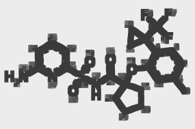 Cc1ccc(C2(C(F)(F)F)CC2)c(OC2(C(=O)NS(=O)(=O)c3cccc(N)n3)CCCC2)c1